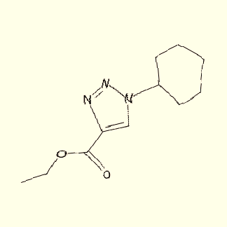 CCOC(=O)c1cn(C2CCCCC2)nn1